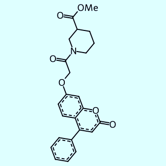 COC(=O)C1CCCN(C(=O)COc2ccc3c(-c4ccccc4)cc(=O)oc3c2)C1